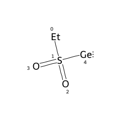 CC[S](=O)(=O)[Ge]